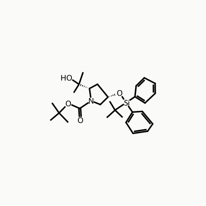 CC(C)(C)OC(=O)N1C[C@@H](O[Si](c2ccccc2)(c2ccccc2)C(C)(C)C)C[C@H]1C(C)(C)O